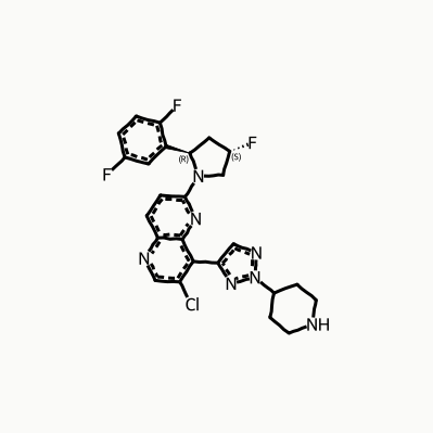 Fc1ccc(F)c([C@H]2C[C@H](F)CN2c2ccc3ncc(Cl)c(-c4cnn(C5CCNCC5)n4)c3n2)c1